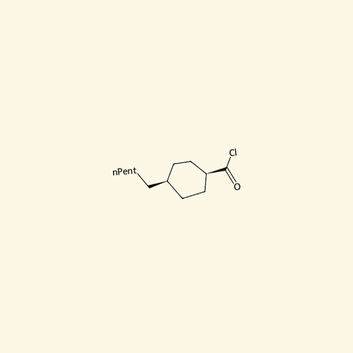 CCCCCC[C@H]1CC[C@@H](C(=O)Cl)CC1